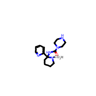 O=C(NC1(c2ccccn2)CCCCN1C(=O)O)N1CCNCC1